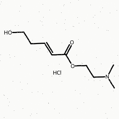 CN(C)CCOC(=O)C=CCCO.Cl